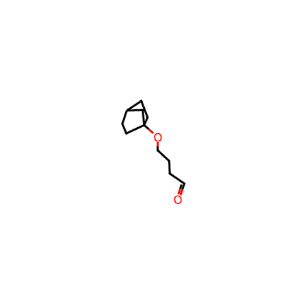 O=CCCCOC12CCC(CC1)C2